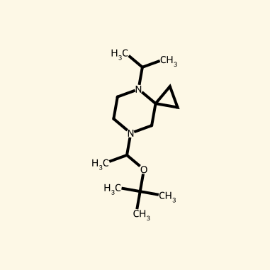 CC(OC(C)(C)C)N1CCN(C(C)C)C2(CC2)C1